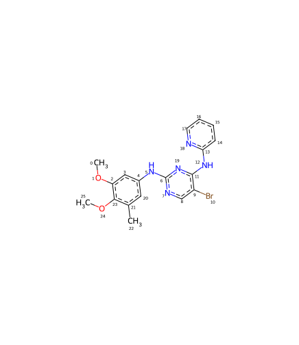 COc1cc(Nc2ncc(Br)c(Nc3ccccn3)n2)cc(C)c1OC